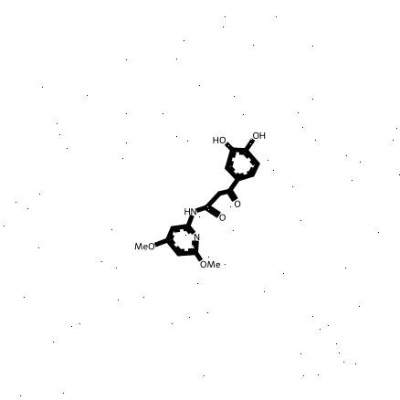 COc1cc(NC(=O)CC(=O)c2ccc(O)c(O)c2)nc(OC)c1